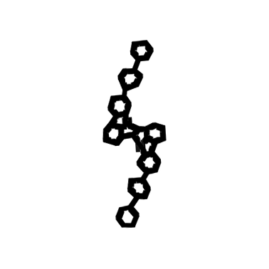 C1=CC(c2ccc(-c3ccc4c5cccc6c5n(c4c3)c3c4cccc5c7ccc(-c8ccc(-c9ccccc9)cc8)cc7n(c54)c63)cc2)=CCC1